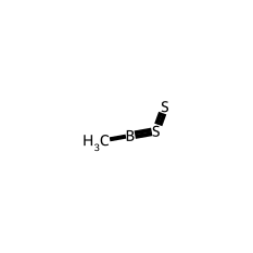 CB=S=S